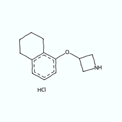 Cl.c1cc2c(c(OC3CNC3)c1)CCCC2